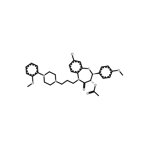 COc1ccc([C@@H]2Sc3cc(Cl)ccc3N(CCCN3CCN(c4ccccc4OC)CC3)C(=O)[C@H]2OC(C)=O)cc1